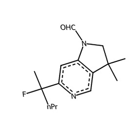 CCCC(C)(F)c1cc2c(cn1)C(C)(C)CN2C=O